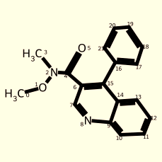 CON(C)C(=O)c1cnc2ccccc2c1-c1ccccc1